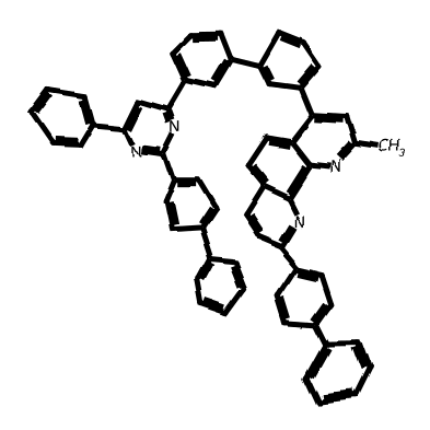 Cc1cc(-c2cccc(-c3cccc(-c4cc(-c5ccccc5)nc(-c5ccc(-c6ccccc6)cc5)n4)c3)c2)c2ccc3ccc(-c4ccc(-c5ccccc5)cc4)nc3c2n1